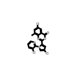 Cc1cc(Cl)cc2c(=O)oc(-c3cc(Cl)cn3-c3ncccc3Cl)nc12